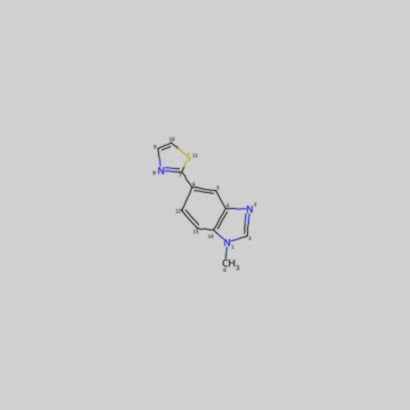 Cn1cnc2cc(-c3nccs3)ccc21